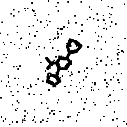 CN(C)c1nc(-c2ccccc2)ncc1-c1cnco1